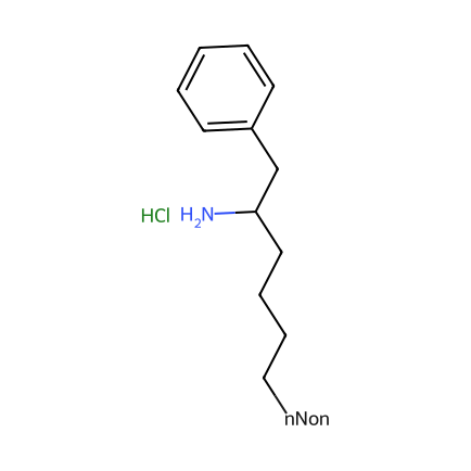 CCCCCCCCCCCCCC(N)Cc1ccccc1.Cl